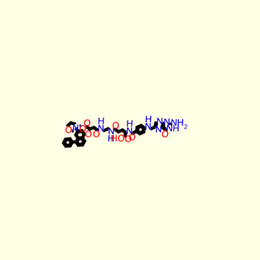 Nc1nc2ncc(CNc3ccc(C(=O)NC(CCC(=O)NCCNC(=O)CCC(=O)OC[N+]4(C5=CC(=O)c6cccc(-c7ccccc7)c6C5)CCCOC4)C(=O)O)cc3)nc2c(=O)[nH]1